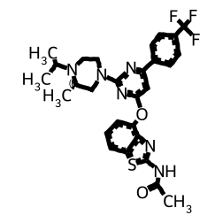 CC(=O)Nc1nc2c(Oc3cc(-c4ccc(C(F)(F)F)cc4)nc(N4CCN(C(C)C)[C@H](C)C4)n3)cccc2s1